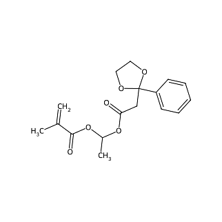 C=C(C)C(=O)OC(C)OC(=O)CC1(c2ccccc2)OCCO1